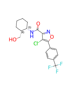 O=C(N[C@H]1CCCC[C@H]1CO)c1noc(-c2ccc(C(F)(F)F)cc2)c1Cl